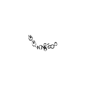 COc1ccc2cc(S(=O)(=O)N3CCN(CC4CCN(c5ccncc5)CC4)CC3)sc2c1